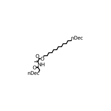 CCCCCCCCCCCCCCCCCCCCCCOC(=O)[C@H](C)NC(=O)CCCCCCCCCCC